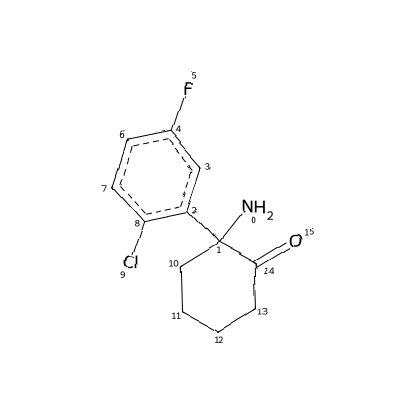 NC1(c2cc(F)ccc2Cl)CCCCC1=O